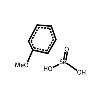 COc1ccccc1.O=[Se](O)O